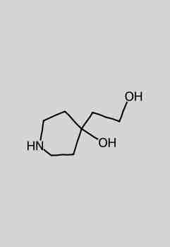 OCCC1(O)CCNCC1